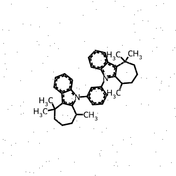 CC1CCCC(C)(C)c2c1n(-c1cccc(-n3c4c(c5ccccc53)C(C)(C)CCCC4C)c1)c1ccccc21